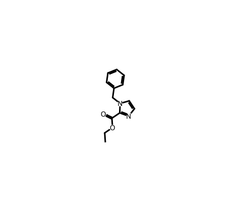 CCOC(=O)c1nccn1Cc1ccccc1